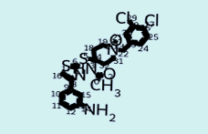 CC(=O)NC1(Sc2nc(-c3cccc(N)c3)cs2)CC[N+]([O-])(Cc2ccc(Cl)c(Cl)c2)CC1